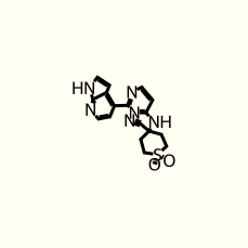 N#CC1(Nc2ccnc(-c3ccnc4[nH]ccc34)n2)CCS(=O)(=O)CC1